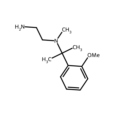 COc1ccccc1C(C)(C)N(C)CCN